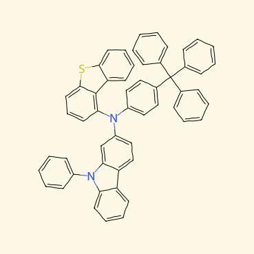 c1ccc(-n2c3ccccc3c3ccc(N(c4ccc(C(c5ccccc5)(c5ccccc5)c5ccccc5)cc4)c4cccc5sc6ccccc6c45)cc32)cc1